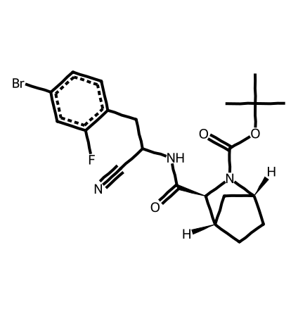 CC(C)(C)OC(=O)N1[C@@H]2CC[C@@H](C2)[C@H]1C(=O)NC(C#N)Cc1ccc(Br)cc1F